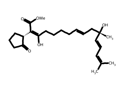 COC(=O)C(=C(O)CCCC/C=C/C[C@](C)(O)/C=C/C=C(C)C)[C@H]1CCCC1=O